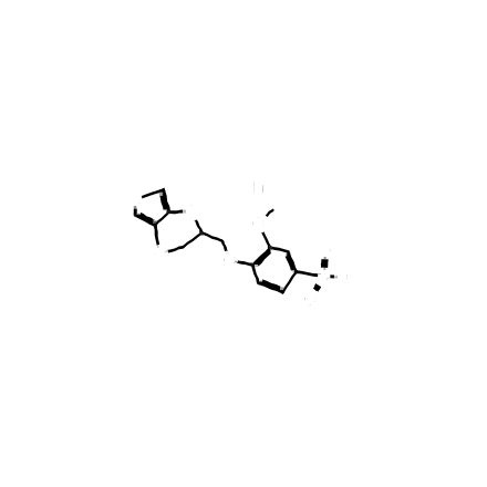 COc1cc(S(=O)(=O)[O-])ccc1OCC1COc2cscc2O1.[Li+]